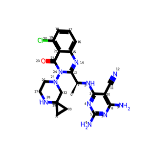 C[C@H](Nc1nc(N)nc(N)c1C#N)c1nc2cccc(Cl)c2c(=O)n1N1CCNC2(CC2)C1